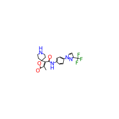 CC1=C(C(=O)Nc2ccc(-n3ccc(C(F)(F)F)n3)cc2)C2(CCNCC2)OC1=O